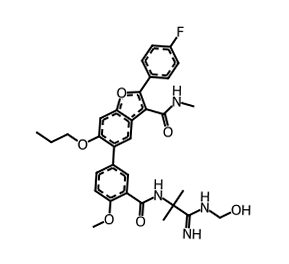 CCCOc1cc2oc(-c3ccc(F)cc3)c(C(=O)NC)c2cc1-c1ccc(OC)c(C(=O)NC(C)(C)C(=N)NCO)c1